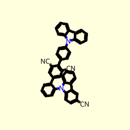 N#Cc1ccc2c(c1)c1ccccc1n2-c1ccccc1-c1cc(C#N)c(-c2ccc(-n3c4ccccc4c4ccccc43)cc2)c(C#N)c1